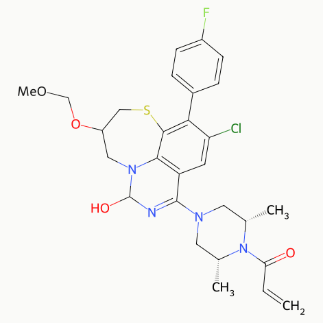 C=CC(=O)N1[C@H](C)CN(C2=NC(O)N3CC(OCOC)CSc4c(-c5ccc(F)cc5)c(Cl)cc2c43)C[C@@H]1C